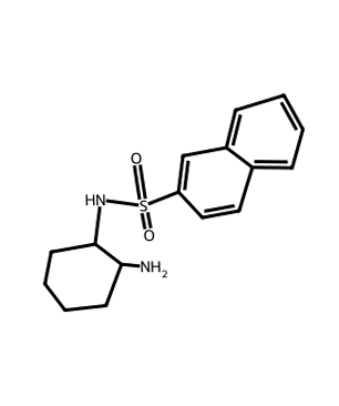 NC1CCCCC1NS(=O)(=O)c1ccc2ccccc2c1